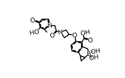 Cc1c(O)c(=O)ccn1CC(=O)N1CC(Oc2ccc3c(c2C(=O)O)C[B-](O)(O)C2CC32)C1